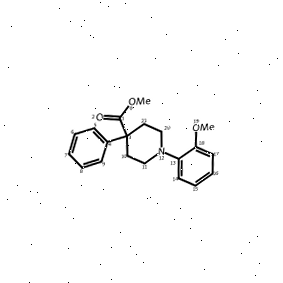 COC(=O)C1(c2ccccc2)CCN(c2ccccc2OC)CC1